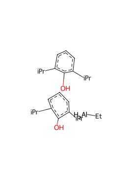 CC(C)c1cccc(C(C)C)c1O.CC(C)c1cccc(C(C)C)c1O.C[CH2][AlH2]